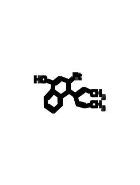 C/C=C\C(=C/C)c1c(CC)cc(O)c2ccccc12